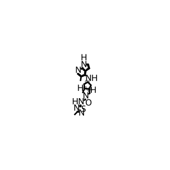 Cc1nsc(NC(=O)N2C[C@H]3C[C@@H](Nc4c(C)cnc5[nH]ccc45)C[C@H]3C2)n1